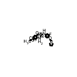 CC(C)Oc1ccc(C(=O)n2nc(Nc3ccc(OCCN4CCCC4)c(F)c3)nc2N)cc1